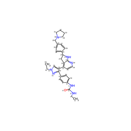 CCNC(=O)Nc1ccc(-c2nn(CC)cc2-c2ccnc3c2CC(c2ccc(CN4CCCC4)cc2)N3)cc1